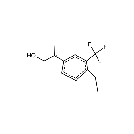 CCc1ccc([C](C)CO)cc1C(F)(F)F